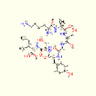 CC[C@H](C)[C@H](NC(=O)[C@H](CO)NC(=O)[C@H](Cc1ccc(O)cc1)NC(=O)CNC(=O)[C@H](CO)NC(=O)[C@H](C)NC(=O)[C@@H](N)CCCCN)C(=O)O